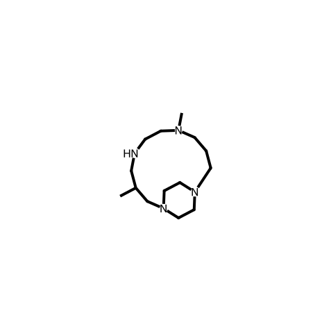 CC1CNCCN(C)CCCN2CCN(CC2)C1